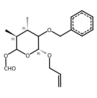 C=CCO[C@@H]1OC(OC=O)[C@@H](C)[C@H](C)C1OCc1ccccc1